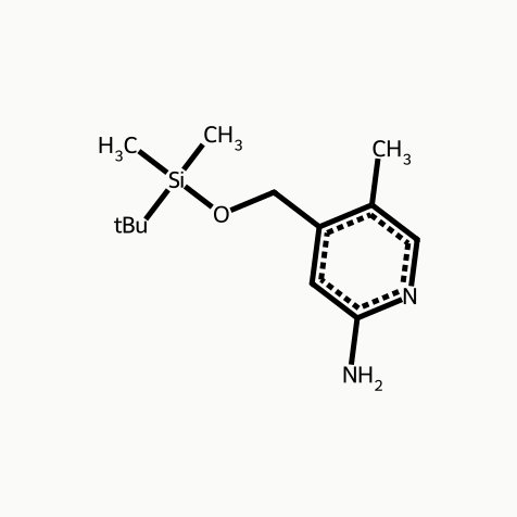 Cc1cnc(N)cc1CO[Si](C)(C)C(C)(C)C